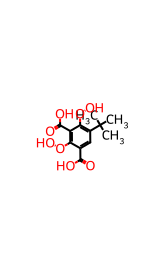 CC(C)(C)c1cc(C(=O)O)c(OO)c(C(=O)O)c1OO